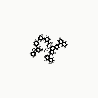 CN1CC(c2cccc(-c3cccc(-c4cccc(-c5cccc6c5oc5ccccc56)c4)c3)c2)=Nc2c1c1cc(-c3cccc4ccccc34)ccc1c1ccc(-c3cccc4ccccc34)cc21